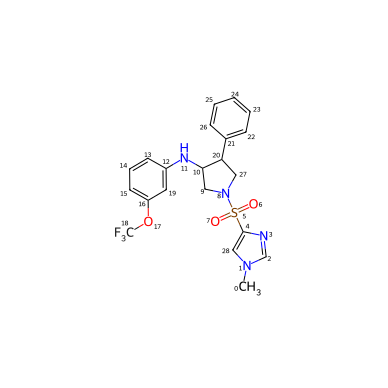 Cn1cnc(S(=O)(=O)N2CC(Nc3cccc(OC(F)(F)F)c3)C(c3ccccc3)C2)c1